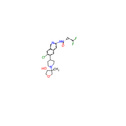 C[C@@]1(N2CCC(c3cc4cc(NC(=O)[C@@H]5C[C@H]5C(F)F)ncc4cc3Cl)CC2)COC[C@@H]1O